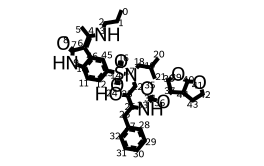 CCCNC(C)=C1C(=O)Nc2ccc(S(=O)(=O)N(CC(C)C)CC(O)C(Cc3ccccc3)NC(=O)OC3COC4OCCC34)cc21